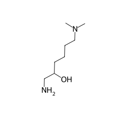 CN(C)CCCCC(O)CN